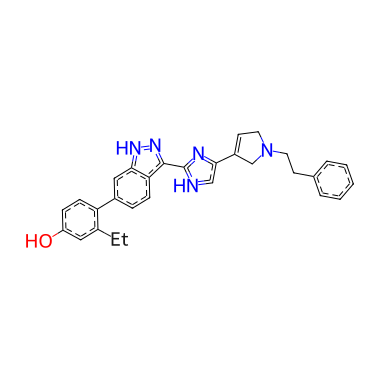 CCc1cc(O)ccc1-c1ccc2c(-c3nc(C4=CCN(CCc5ccccc5)C4)c[nH]3)n[nH]c2c1